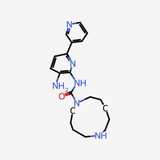 Nc1ccc(-c2cccnc2)nc1NC(=O)N1CCCCCNCCCC1